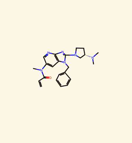 C=CC(=O)N(C)c1cnc2nc(N3CC[C@H](N(C)C)C3)n(Cc3ccccc3)c2c1